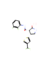 O=C(Nc1cccc(F)c1F)[C@H]1C(O)NC[C@@H]1c1cc(C(F)F)cs1